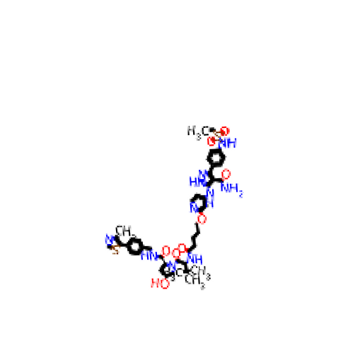 CCS(=O)(=O)Nc1ccc(-c2n[nH]c(Nc3ccnc(OCCCCC(=O)N[C@H](C(=O)N4C[C@H](O)C[C@H]4C(=O)NCc4ccc(-c5scnc5C)cc4)C(C)(C)C)c3)c2C(N)=O)cc1